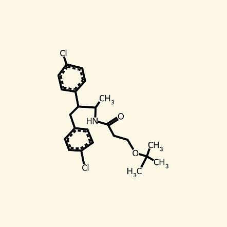 CC(NC(=O)CCOC(C)(C)C)C(Cc1ccc(Cl)cc1)c1ccc(Cl)cc1